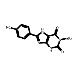 CCCCn1c(=O)[nH]c2nc(-c3ccc(C#N)cc3)[nH]c2c1=O